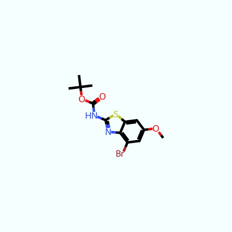 COc1cc(Br)c2nc(NC(=O)OC(C)(C)C)sc2c1